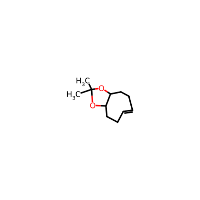 CC1(C)OC2CC/C=C/CCC2O1